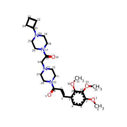 COc1ccc(/C=C/C(=O)N2CCN(CC(=O)N3CCN(C4CCC4)CC3)CC2)c(OC)c1OC